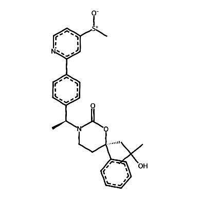 C[C@@H](c1ccc(-c2cc([S+](C)[O-])ccn2)cc1)N1CC[C@](CC(C)(C)O)(c2ccccc2)OC1=O